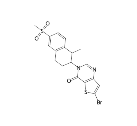 CC1c2ccc(S(C)(=O)=O)cc2CCC1n1cnc2cc(Br)sc2c1=O